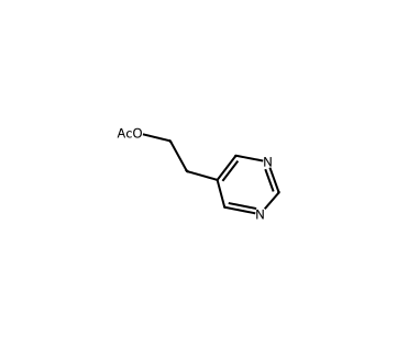 CC(=O)OCCc1cncnc1